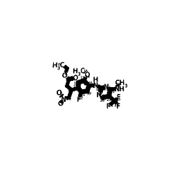 CCOC(=O)CC(C[N+](=O)[O-])c1cc(OC)c(Nc2ncc(C(F)(F)F)c(NC)n2)cc1F